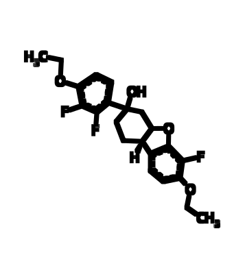 CCOc1ccc(C2(O)CC[C@H]3c4ccc(OCC)c(F)c4OC3C2)c(F)c1F